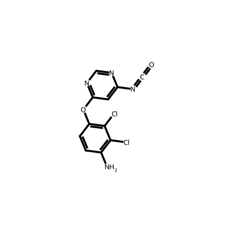 Nc1ccc(Oc2cc(N=C=O)ncn2)c(Cl)c1Cl